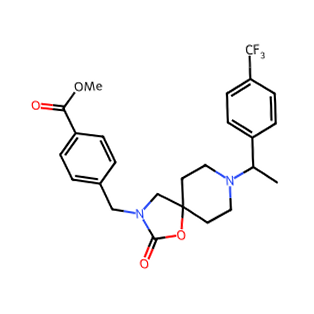 COC(=O)c1ccc(CN2CC3(CCN(C(C)c4ccc(C(F)(F)F)cc4)CC3)OC2=O)cc1